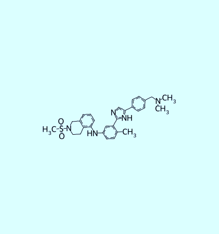 Cc1ccc(Nc2cccc3c2CCN(S(C)(=O)=O)C3)cc1-c1ncc(-c2ccc(CN(C)C)cc2)[nH]1